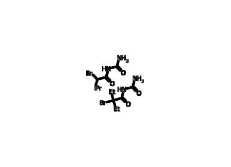 CC(C)C(Br)C(=O)NC(N)=O.CCC(Br)(CC)C(=O)NC(N)=O